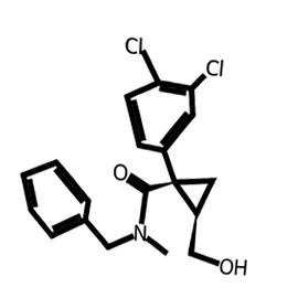 CN(Cc1ccccc1)C(=O)[C@@]1(c2ccc(Cl)c(Cl)c2)C[C@H]1CO